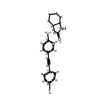 O=C1NC2CCCCC2[C@H]1Cc1ccc(C#Cc2ccc(F)cc2)cn1